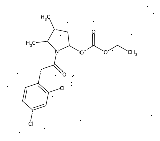 CCOC(=O)OC1CC(C)C(C)N1C(=O)Cc1ccc(Cl)cc1Cl